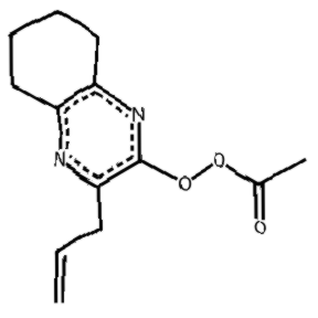 C=CCc1nc2c(nc1OOC(C)=O)CCCC2